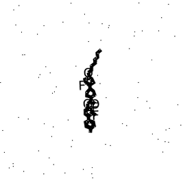 CCCCCCCOc1ccc(C2CCC(C(=O)Oc3ccc(-c4ccc(C)cc4)c(F)c3F)CC2)c(F)c1